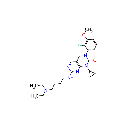 CCN(CC)CCCCNc1ncc2c(n1)N(C1CC1)C(=O)N(c1cccc(OC)c1F)C2